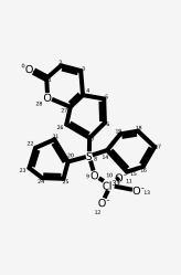 O=c1ccc2ccc(S(O[Cl+3]([O-])([O-])[O-])(c3ccccc3)c3ccccc3)cc2o1